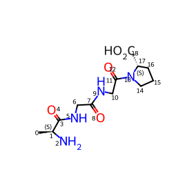 C[C@H](N)C(=O)NCC(=O)NCC(=O)N1CCC[C@H]1C(=O)O